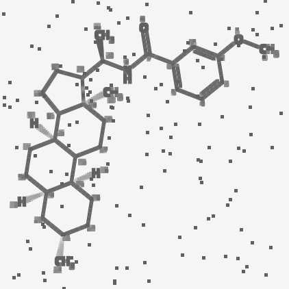 COc1cccc(C(=O)N[C@H](C)C2CCC3[C@@H]4CC[C@@H]5C[C@@H](C)CC[C@@H]5C4CC[C@@]32C)c1